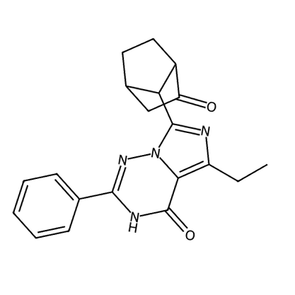 CCc1nc(C2C3CCC2C(=O)C3)n2nc(-c3ccccc3)[nH]c(=O)c12